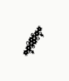 C=COc1cc(N2C(=O)c3ccc4c5c(ccc(c35)C2=O)C(=O)N(c2ccc(C3C=CC=C3)c(OC=C)c2)C4=O)ccc1C1=CCC=C1